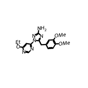 CCOc1cc(-n2nc(N)nc2Cc2ccc(OC)c(OC)c2)ncn1